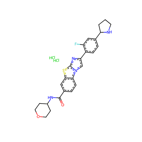 Cl.Cl.O=C(NC1CCOCC1)c1ccc2c(c1)sc1nc(-c3ccc(C4CCCN4)cc3F)cn12